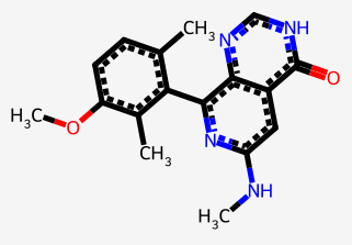 CNc1cc2c(=O)[nH]cnc2c(-c2c(C)ccc(OC)c2C)n1